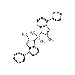 CC1=Cc2c(-c3ccccc3)cccc2[CH]1[Zr]([CH3])([CH3])[CH]1C(C)=Cc2c(-c3ccccc3)cccc21